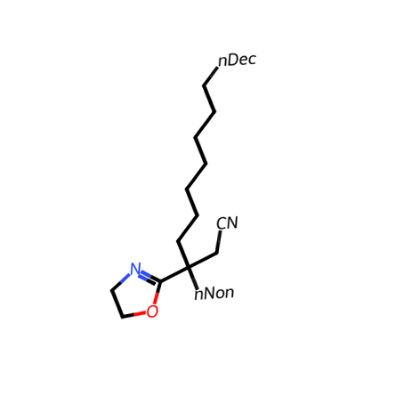 CCCCCCCCCCCCCCCCCC(CC#N)(CCCCCCCCC)C1=NCCO1